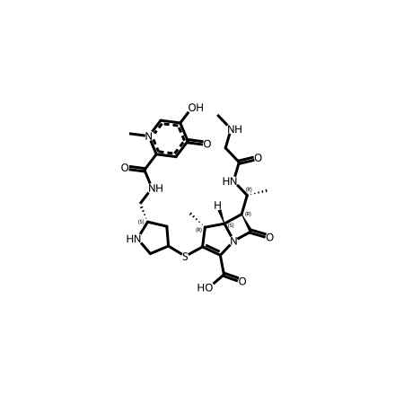 CNCC(=O)N[C@H](C)[C@H]1C(=O)N2C(C(=O)O)=C(SC3CN[C@H](CNC(=O)c4cc(=O)c(O)cn4C)C3)[C@H](C)[C@H]12